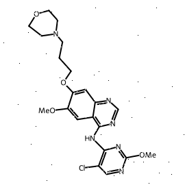 COc1ncc(Cl)c(Nc2ncnc3cc(OCCCN4CCOCC4)c(OC)cc23)n1